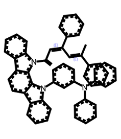 C=C(/C=C(\C=C(/C)c1ccccc1)c1ccccc1)n1c2ccccc2c2ccc3c4ccccc4n(-c4cccc(N(c5ccccc5)c5ccccc5)c4)c3c21